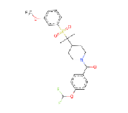 CC(C)(C1CCN(C(=O)c2ccc(OC(F)F)cc2)CC1)S(=O)(=O)c1cccc(OC(F)(F)F)c1